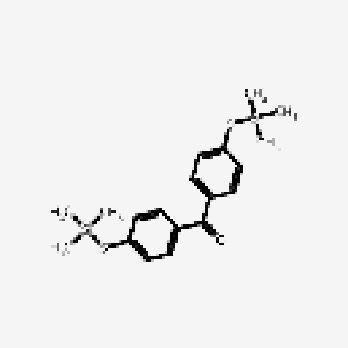 C[Si](C)(C)Sc1ccc(C(=O)c2ccc(S[Si](C)(C)C)cc2)cc1